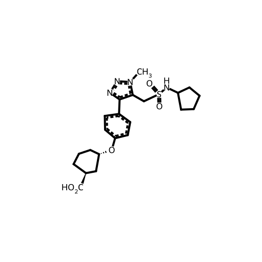 Cn1nnc(-c2ccc(O[C@H]3CCC[C@H](C(=O)O)C3)cc2)c1CS(=O)(=O)NC1CCCC1